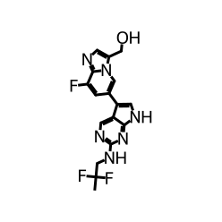 CC(F)(F)CNc1ncc2c(-c3cc(F)c4ncc(CO)n4c3)c[nH]c2n1